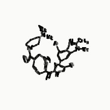 CCN(CC)[C@H]1CCN(C(=O)c2ccc(Nc3ncc(F)c(-c4cc(F)c5nc(C)n(C(C)C)c5c4)n3)nc2)C1